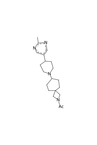 CC(=O)N1CC2(CCC(N3CCC(c4cnc(C)nc4)CC3)CC2)C1